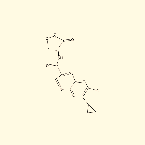 O=C(N[C@H]1CONC1=O)c1cnc2cc(C3CC3)c(Cl)cc2c1